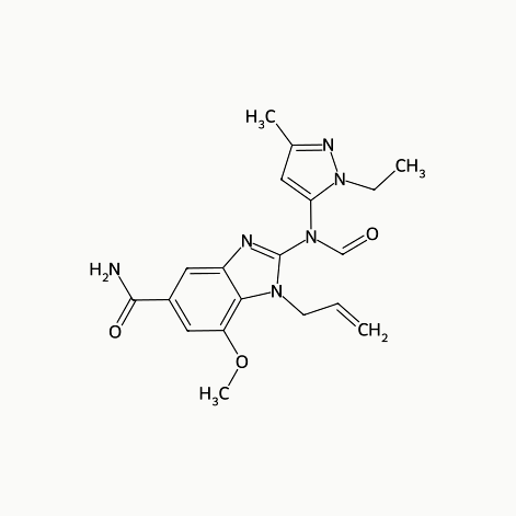 C=CCn1c(N(C=O)c2cc(C)nn2CC)nc2cc(C(N)=O)cc(OC)c21